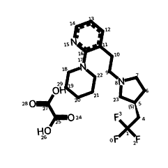 FC(F)(F)C[C@@H]1CCN(CCc2cccnc2N2CCCCC2)C1.O=C(O)C(=O)O